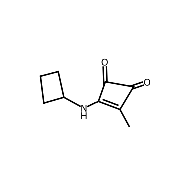 Cc1c(NC2CCC2)c(=O)c1=O